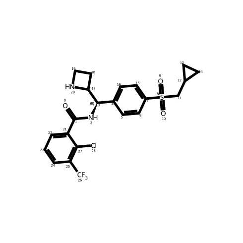 O=C(N[C@H](c1ccc(S(=O)(=O)CC2CC2)cc1)C1CCN1)c1cccc(C(F)(F)F)c1Cl